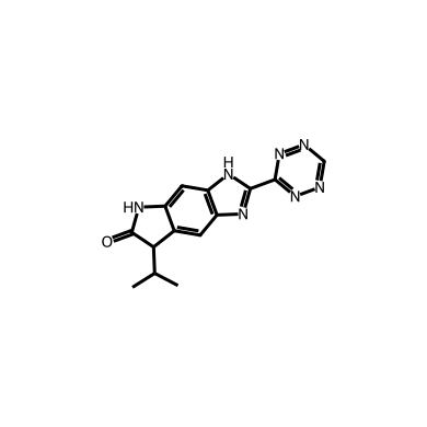 CC(C)C1C(=O)Nc2cc3[nH]c(-c4nncnn4)nc3cc21